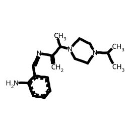 C=C(/N=C\c1ccccc1N)C(C)N1CCN(C(C)C)CC1